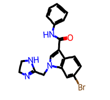 O=C(Nc1ccccc1)c1cn(CC2=NCCN2)c2cc(Br)ccc12